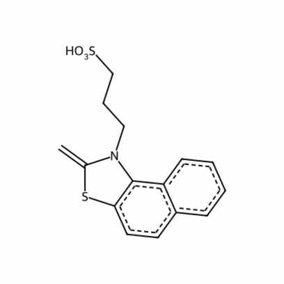 C=C1Sc2ccc3ccccc3c2N1CCCS(=O)(=O)O